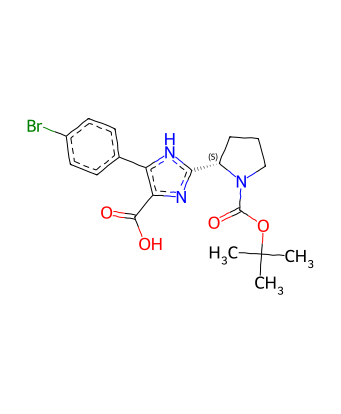 CC(C)(C)OC(=O)N1CCC[C@H]1c1nc(C(=O)O)c(-c2ccc(Br)cc2)[nH]1